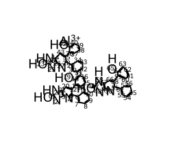 Oc1nc2nc(-c3ccccc3)c(-c3ccccc3O)cc2[nH]1.Oc1nc2nc(-c3ccccc3)c(-c3ccccc3O)cc2[nH]1.Oc1nc2nc(-c3ccccc3)c(-c3ccccc3O)cc2[nH]1.[Al+3]